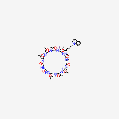 CC[C@@H]1NC(=O)[C@H]([C@H](I)[C@H](C)C/C=C/CCCN2CC=Cc3ccccc32)N(C)C(=O)[C@H](C(C)C)N(C)C(=O)[C@H](CC(C)C)N(C)C(=O)[C@H](CC(C)C)N(C)C(=O)[C@@H](C)NC(=O)[C@H](C)NC(=O)[C@H](CC(C)C)N(C)C(=O)[C@H](C(C)C)NC(=O)[C@H](CC(C)C)N(C)C(=O)CN(C)C1=O